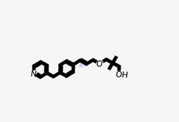 CC(C)(CO)COC/C=C/c1ccc(Cc2cccnc2)cc1